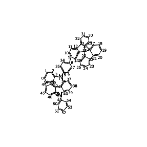 c1ccc(N(c2ccc(-c3ccc4c(c3)C3(c5ccccc5-c5ccccc53)c3ccccc3-4)cc2)c2cccc3c2c2ccccc2n3-c2ccccc2)cc1